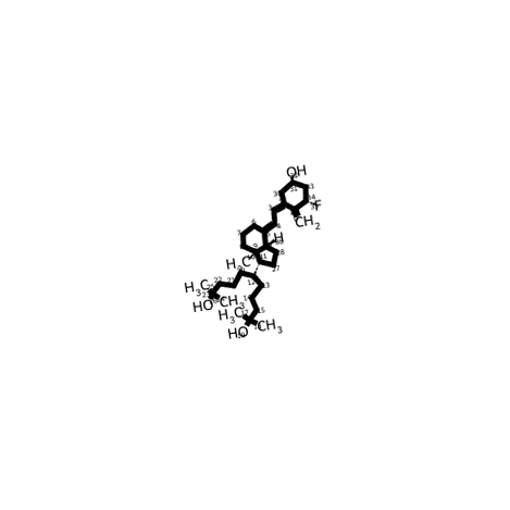 C=C1/C(=C\C=C2/CCC[C@]3(C)[C@@H](C(CCCC(C)(C)O)CCCC(C)(C)O)CC[C@@H]23)C[C@@H](O)C[C@@H]1F